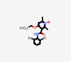 CCOC(=O)COc1cc(C)[n+]([O-])c(C)c1C(=O)Nc1c(CC)cccc1CC